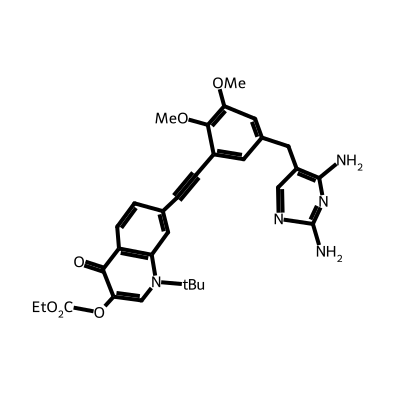 CCOC(=O)Oc1cn(C(C)(C)C)c2cc(C#Cc3cc(Cc4cnc(N)nc4N)cc(OC)c3OC)ccc2c1=O